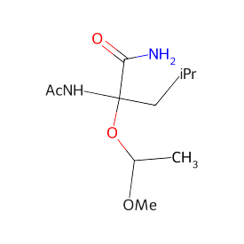 COC(C)OC(CC(C)C)(NC(C)=O)C(N)=O